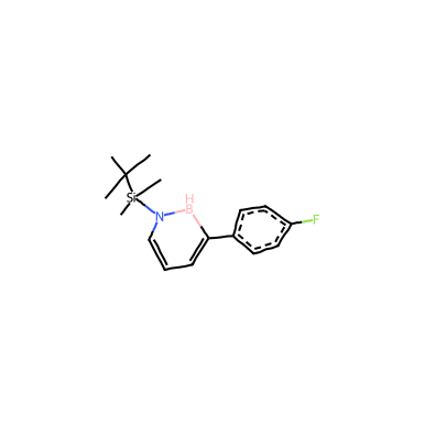 CC(C)(C)[Si](C)(C)N1BC(c2ccc(F)cc2)=CC=C1